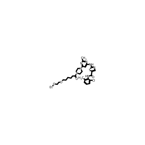 CCOCCOCCCCCC(=O)N1CCN(c2cc(Nc3ncc(C(=O)Nc4c(C)cccc4Cl)s3)nc(C)n2)CC1